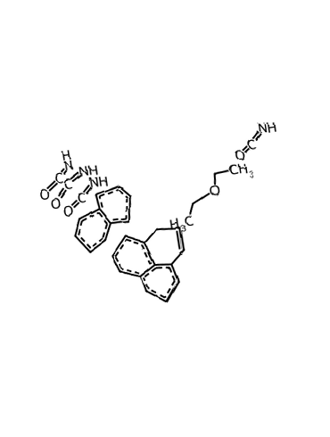 C1=Cc2cccc3cccc(c23)C1.CCOCC.N=C=O.N=C=O.N=C=O.N=C=O.c1ccc2ccccc2c1